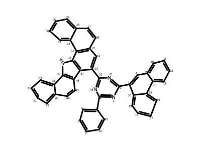 c1ccc(-c2nc(-c3cc4ccccc4c4ccccc34)nc(-c3cc4ccc5ccccc5c4c4sc5c6ccccc6ccc5c34)n2)cc1